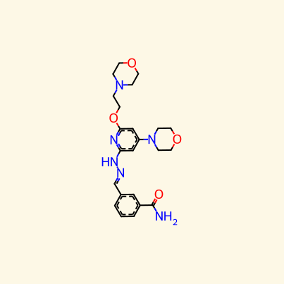 NC(=O)c1cccc(C=NNc2cc(N3CCOCC3)cc(OCCN3CCOCC3)n2)c1